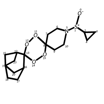 [O-][S+](C1CC1)N1CCC2(CC1)OOC1(OO2)C2CCC3(C2)CC1C3